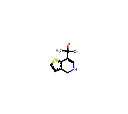 CC(C)(O)C1=CNCc2ccsc21